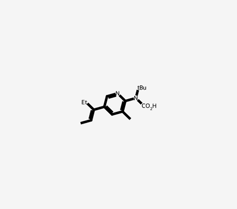 CC=C(CC)c1cnc(N(C(=O)O)C(C)(C)C)c(C)c1